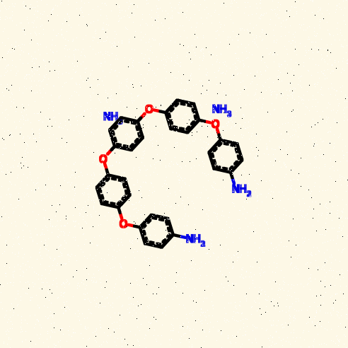 N.N.Nc1ccc(Oc2ccc(Oc3ccc(Oc4ccc(Oc5ccc(N)cc5)cc4)cc3)cc2)cc1